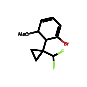 COC1C=CC=C(Br)C1C1(C(F)F)CC1